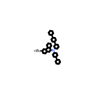 CCCCc1ccc2cc(N(c3ccc(-c4ccccc4)cc3)c3cccc(-c4ccc(-c5ccccc5)cc4)c3)c3ccccc3c2c1